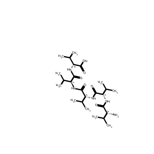 CC(C)[C@H](NC(=O)[C@H](N)C(C)C)C(=O)N[C@@H](C(=O)N[C@H](C(=O)N[C@@H](C(=O)O)C(C)C)C(C)C)C(C)C